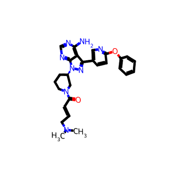 CN(C)CC=CC(=O)N1CCC[C@@H](n2nc(-c3ccc(Oc4ccccc4)nc3)c3c(N)ncnc32)C1